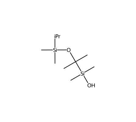 CC(C)[Si](C)(C)OC(C)(C)[Si](C)(C)O